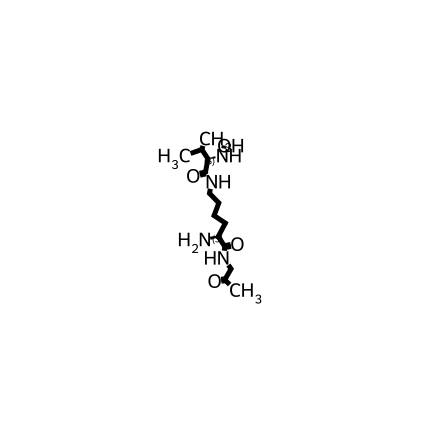 CC(=O)CNC(=O)[C@@H](N)CCCCNC(=O)[C@@H](NO)C(C)C